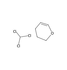 C1=COCCC1.ClC(Cl)Cl